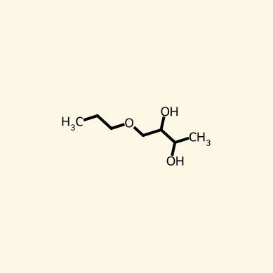 CCCOCC(O)C(C)O